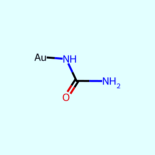 NC(=O)[NH][Au]